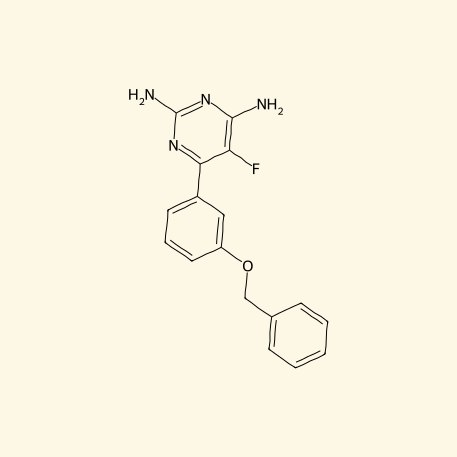 Nc1nc(N)c(F)c(-c2cccc(OCc3ccccc3)c2)n1